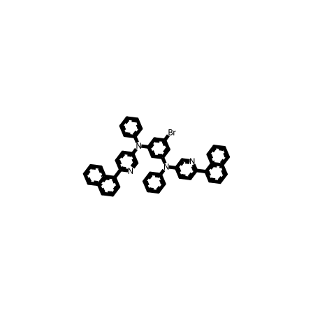 Brc1cc(N(c2ccccc2)c2ccc(-c3cccc4ccccc34)nc2)cc(N(c2ccccc2)c2ccc(-c3cccc4ccccc34)nc2)c1